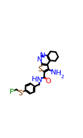 Nc1c(C(=O)NCc2ccc(SCF)cc2)sc2nnc3c(c12)CCCC3